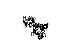 CCOC(=O)N1CCN(C(=O)[C@H](CCC(=O)NN)NC(=O)c2cc(OCC(=O)N3CCC[C@H]3C(=O)NC3CCC3)c3ccc(C)cc3n2)CC1